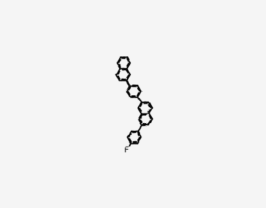 Fc1ccc(-c2ccc3ccc(-c4ccc(-c5ccc6ccccc6c5)cc4)cc3c2)cc1